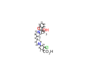 O=C(O)c1ccc(N2CCC(CC3CCN(C(=O)[C@](O)(c4ccccc4)C(F)(F)F)CC3)CC2)cc1Cl